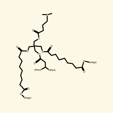 CCCCCCCOC(=O)CCCCCCCC(=O)OCC(COC(=O)CCCCCCCC(=O)OCCCCCCC)(COC(=O)CCCN(C)C)COC(=O)CC(CCCCC)CCCCC